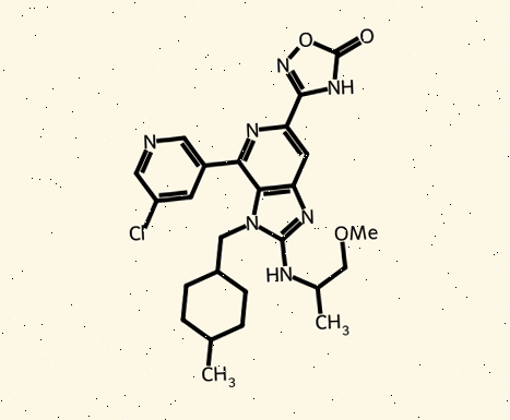 COCC(C)Nc1nc2cc(-c3noc(=O)[nH]3)nc(-c3cncc(Cl)c3)c2n1CC1CCC(C)CC1